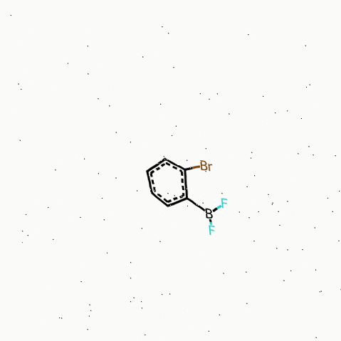 FB(F)c1ccccc1Br